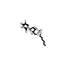 CCCCCCOP1(=O)OC[C@H]2O[C@@H](n3cc(F)c(=O)[nH]c3=O)C[C@@H]2O1